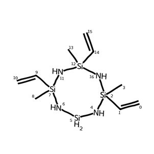 C=C[Si]1(C)N[SiH2]N[Si](C)(C=C)N[Si](C)(C=C)N1